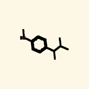 CNc1ccc(C(C)C(C)C)cc1